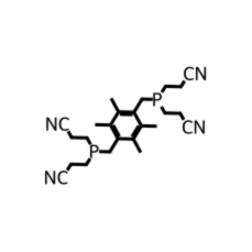 Cc1c(C)c(CP(CCC#N)CCC#N)c(C)c(C)c1CP(CCC#N)CCC#N